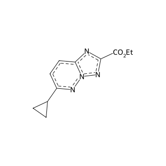 CCOC(=O)c1nc2ccc(C3CC3)nn2n1